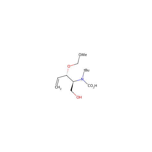 C=C[C@H](OCOC)[C@H](CO)N(C(=O)O)C(C)(C)C